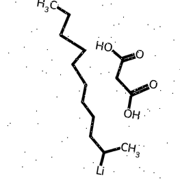 O=C(O)CC(=O)O.[Li][CH](C)CCCCCCCCC